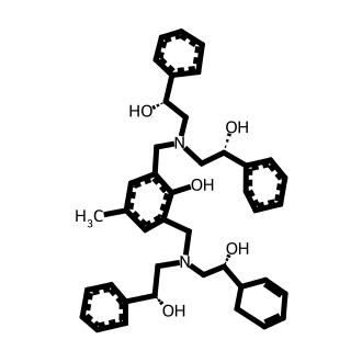 Cc1cc(CN(C[C@H](O)c2ccccc2)C[C@H](O)c2ccccc2)c(O)c(CN(C[C@H](O)c2ccccc2)C[C@H](O)C2C=CC=CC2)c1